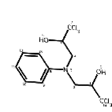 OC(CN(CC(O)C(Cl)(Cl)Cl)c1ccccc1)C(Cl)(Cl)Cl